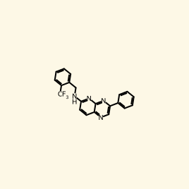 FC(F)(F)c1ccccc1CNc1ccc2ncc(-c3ccccc3)nc2n1